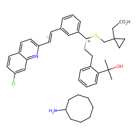 CC(C)(O)c1ccccc1CC[C@@H](SCC1(CC(=O)O)CC1)c1cccc(/C=C/c2ccc3ccc(Cl)cc3n2)c1.NC1CCCCCCC1